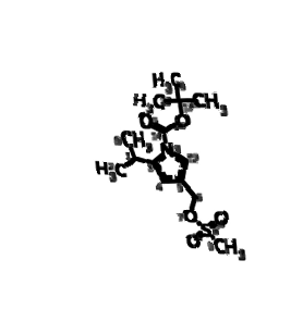 CC(C)c1cc(COS(C)(=O)=O)cn1C(=O)OC(C)(C)C